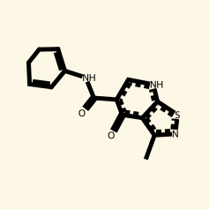 Cc1nsc2[nH]cc(C(=O)NC3=CCCC=C3)c(=O)c12